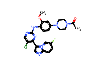 COc1cc(N2CCN(C(C)=O)CC2)ccc1Nc1ncc(Cl)c(-c2cnc3ccc(F)cn23)n1